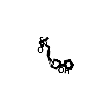 CC1SCC(=O)N1CC#CCN1CCC(O)(c2ccccc2)CC1